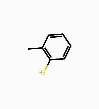 Cc1[c]cccc1S